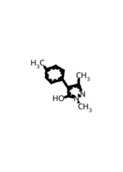 Cc1ccc(-c2c(C)nn(C)c2O)cc1